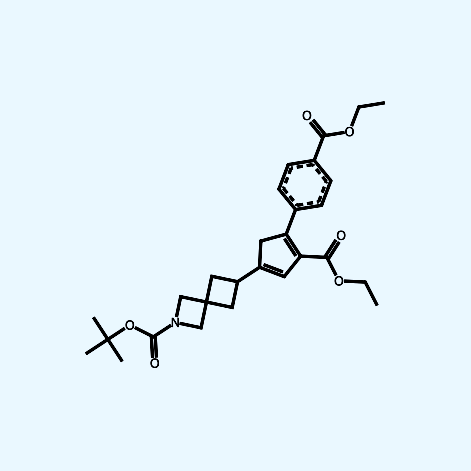 CCOC(=O)C1=C(c2ccc(C(=O)OCC)cc2)CC(C2CC3(C2)CN(C(=O)OC(C)(C)C)C3)=C1